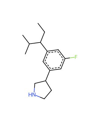 CCC(c1cc(F)cc(C2CCNC2)c1)C(C)C